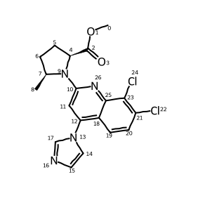 COC(=O)[C@@H]1CC[C@H](C)N1c1cc(-n2ccnc2)c2ccc(Cl)c(Cl)c2n1